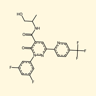 CC(CO)NC(=O)c1cc(-c2ccc(C(F)(F)F)cn2)nn(-c2cc(F)cc(F)c2)c1=O